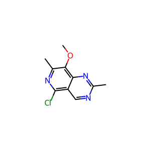 COc1c(C)nc(Cl)c2cnc(C)nc12